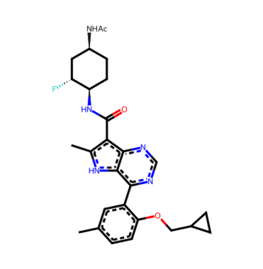 CC(=O)N[C@H]1CC[C@@H](NC(=O)c2c(C)[nH]c3c(-c4cc(C)ccc4OCC4CC4)ncnc23)[C@H](F)C1